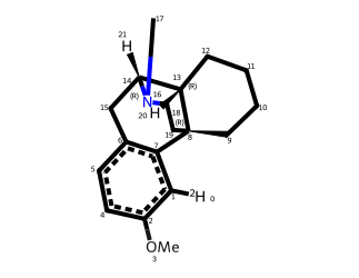 [2H]c1c(OC)ccc2c1[C@@]13CCCC[C@H]1[C@@H](C2)N(C)CC3